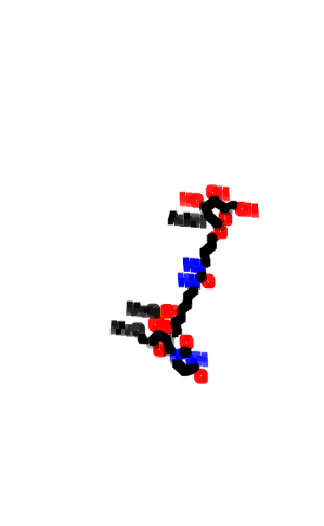 COC[C@H]1O[C@@H](n2ccc(=O)[nH]c2=O)[C@@H](CCCCCCCNC(=O)NCCCCO[C@@H]2O[C@H](CO)[C@H](O)[C@H](O)[C@H]2NC(C)=O)C1OP(=O)(O)OC